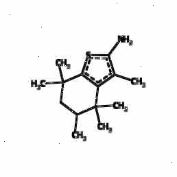 Cc1c(N)sc2c1C(C)(C)C(C)CC2(C)C